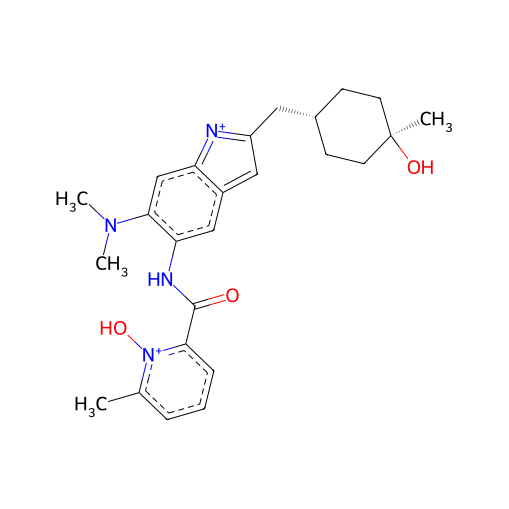 Cc1cccc(C(=O)Nc2cc3c(cc2N(C)C)=[N+]=C(C[C@H]2CC[C@](C)(O)CC2)C=3)[n+]1O